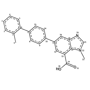 Cc1ccccc1-c1ccc(-c2cc(C(=O)O)c3c(c2)ncn3C)cc1